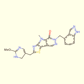 COC1=NC=C(Cc2nc3c(s2)c2cnn(Cc4cccc5[nH]ncc45)c(=O)c2n3C)CN1